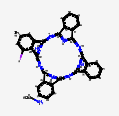 CCCCCCCCN.Ic1cccc2c3nc4nc(nc5[nH]c(nc6nc(nc([nH]3)c12)-c1ccccc1-6)c1ccccc51)-c1ccccc1-4.[Zn]